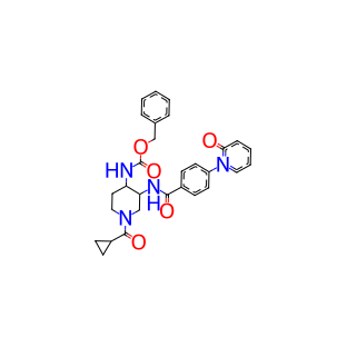 O=C(NC1CCN(C(=O)C2CC2)CC1NC(=O)c1ccc(-n2ccccc2=O)cc1)OCc1ccccc1